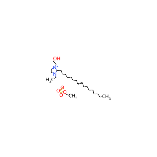 CCCCCCCCC=CCCCCCCCC1=[N+](CCO)CCN1CC.CCOS(=O)(=O)[O-]